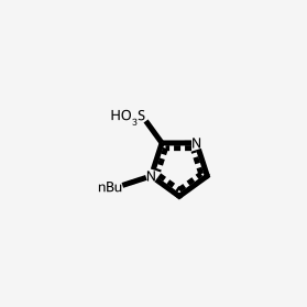 CCCCn1ccnc1S(=O)(=O)O